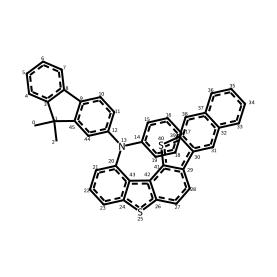 CC1(C)c2ccccc2-c2ccc(N(c3ccccc3)c3cccc4sc5ccc6c7cc8ccccc8cc7sc6c5c34)cc21